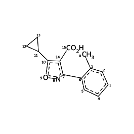 Cc1ccccc1-c1noc(C2CC2)c1C(=O)O